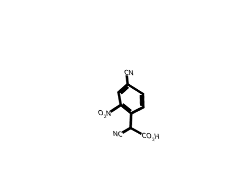 N#Cc1ccc(C(C#N)C(=O)O)c([N+](=O)[O-])c1